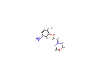 Nc1ccc(Br)c(OCCN2CCOCC2)c1